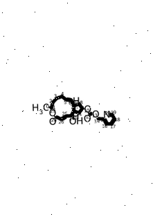 C[C@H]1CCC/C=C/[C@@H]2C[C@H](OC(=O)OCc3ccccn3)C[C@H]2[C@H](O)/C=C/C(=O)O1